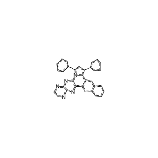 c1ccc(-c2cc(-c3ccccc3)n3c4nc5nccnc5nc4c4cc5ccccc5cc4c23)cc1